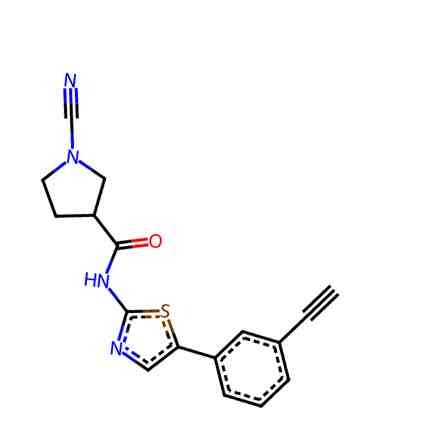 C#Cc1cccc(-c2cnc(NC(=O)C3CCN(C#N)C3)s2)c1